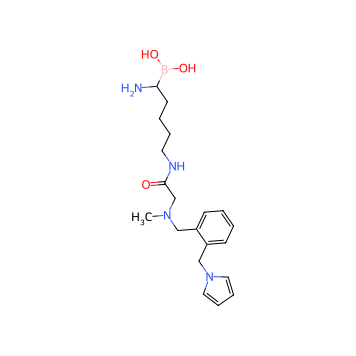 CN(CC(=O)NCCCCC(N)B(O)O)Cc1ccccc1Cn1cccc1